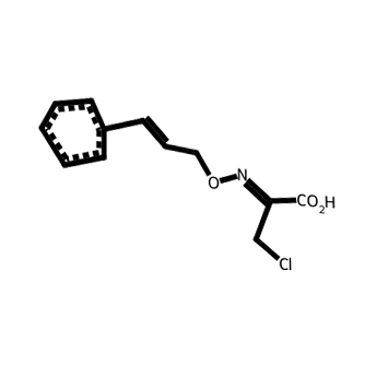 O=C(O)C(CCl)=NOCC=Cc1ccccc1